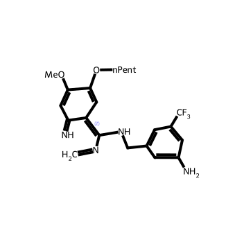 C=N/C(NCc1cc(N)cc(C(F)(F)F)c1)=C1/C=C(OCCCCC)C(OC)=CC1=N